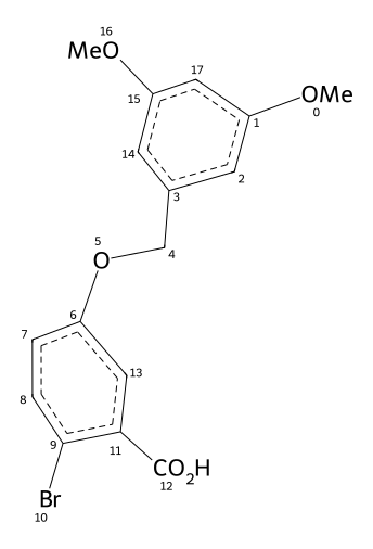 COc1cc(COc2ccc(Br)c(C(=O)O)c2)cc(OC)c1